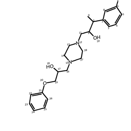 CC(c1cccc(F)c1)C(O)CN1CCN(CC(O)COc2ccccc2)CC1